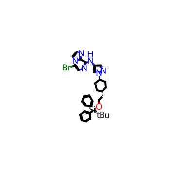 CC(C)(C)[Si](OCC[C@H]1CC[C@H](n2cc(Nc3ncc(Br)n4ccnc34)cn2)CC1)(c1ccccc1)c1ccccc1